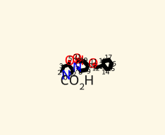 O=C(O)N1CCC(O)C(n2ccc(OCc3ccccc3)cc2=O)C1